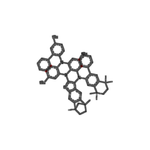 CC(C)(C)c1ccc2c(c1)B1c3oc4cc5c(cc4c3N(c3cc4c(cc3-c3ccccc3)C(C)(C)CCC4(C)C)c3cc(C(C)(C)C)cc(c31)N2c1ccc(C(C)(C)C)cc1-c1ccccc1)C1(C)CCC5(C)C1